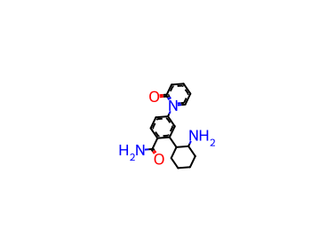 NC(=O)c1ccc(-n2ccccc2=O)cc1C1CCCCC1N